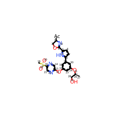 CC(=O)C1COC(c2ccc(-c3cc(Oc4cnc(S(C)(=O)=O)cn4)cc(O[C@@H](C)CO)c3)[nH]2)=N1